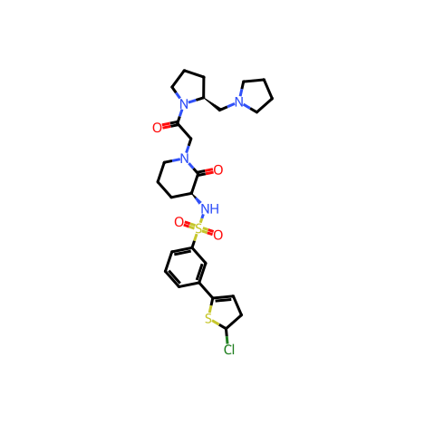 O=C1[C@@H](NS(=O)(=O)c2cccc(C3=CCC(Cl)S3)c2)CCCN1CC(=O)N1CCC[C@H]1CN1CCCC1